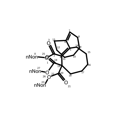 CCCCCCCCCOC(=O)/C1=C(\C2=C/CCCCCC2)CCCCCC1(C(=O)OCCCCCCCCC)C(=O)OCCCCCCCCC